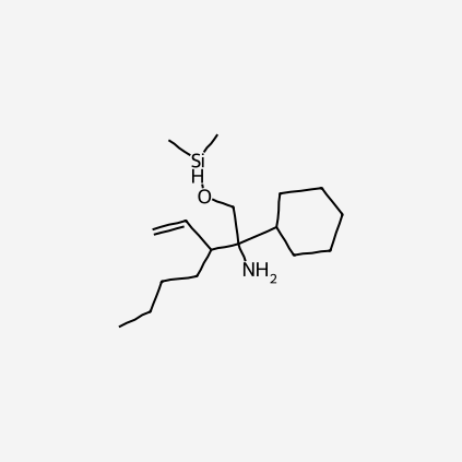 C=CC(CCCC)C(N)(CO[SiH](C)C)C1CCCCC1